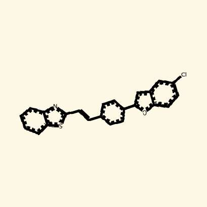 Clc1ccc2oc(-c3ccc(C=Cc4nc5ccccc5s4)cc3)cc2c1